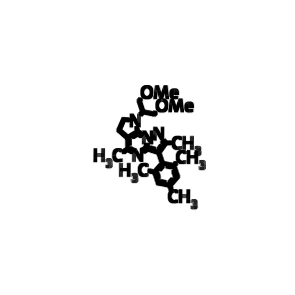 COCC(COC)N1CCc2c(C)nc3c(-c4c(C)cc(C)cc4C)c(C)nn3c21